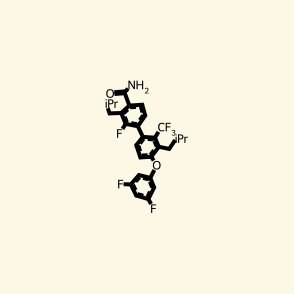 CC(C)Cc1c(C(N)=O)ccc(-c2ccc(Oc3cc(F)cc(F)c3)c(CC(C)C)c2C(F)(F)F)c1F